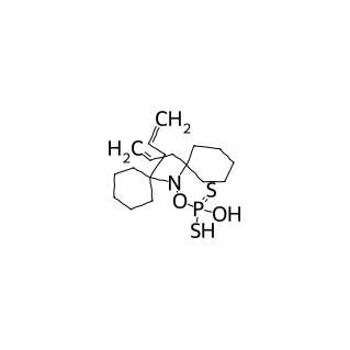 C=CCC1(N(OP(O)(=S)S)C2(CC=C)CCCCC2)CCCCC1